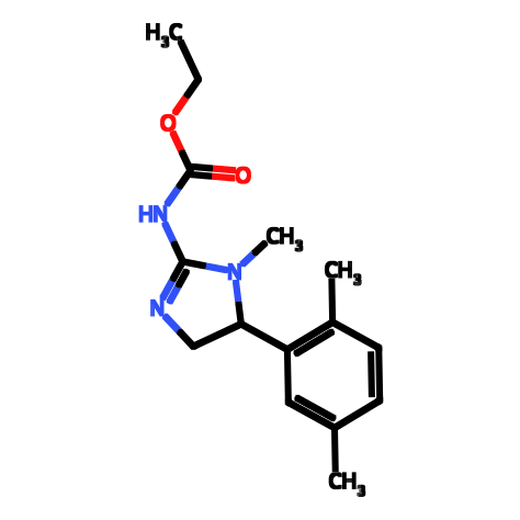 CCOC(=O)NC1=NCC(c2cc(C)ccc2C)N1C